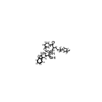 CC1(C)CCN(C(C)(C)CCC(C#N)C(=O)N2CCC[C@H](OC(=O)N[C@@H](Cc3coc4ccccc34)B(O)O)C2)C1